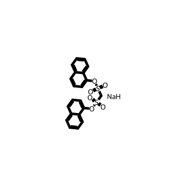 O=S(=O)(CS(=O)(=O)Oc1cccc2ccccc12)Oc1cccc2ccccc12.[NaH]